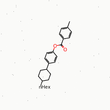 CCCCCCC1CCC(c2ccc(OC(=O)c3ccc(C)cc3)cc2)CC1